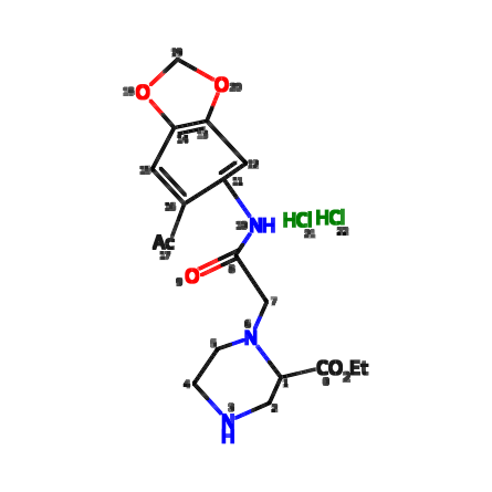 CCOC(=O)C1CNCCN1CC(=O)Nc1cc2c(cc1C(C)=O)OCO2.Cl.Cl